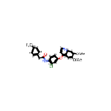 COc1cc2nccc(Oc3ccc(NC(=O)Cc4ccc(C(F)(F)F)cc4)c(Cl)c3)c2cc1OC